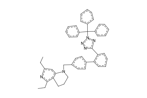 CCc1cc2c(c(CC)n1)CCCN2Cc1ccc(-c2ccccc2-c2nnn(C(c3ccccc3)(c3ccccc3)c3ccccc3)n2)cc1